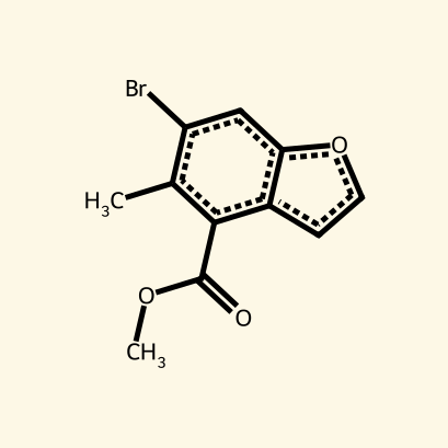 COC(=O)c1c(C)c(Br)cc2occc12